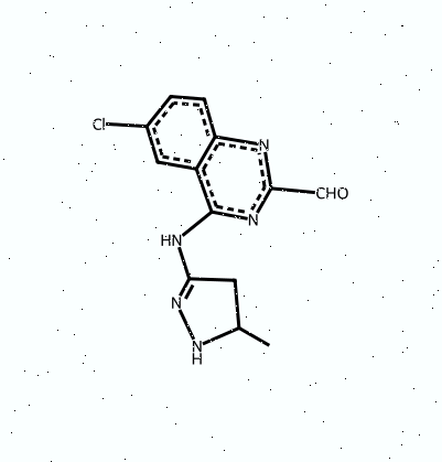 CC1CC(Nc2nc(C=O)nc3ccc(Cl)cc23)=NN1